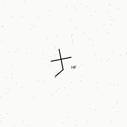 CC(C)(C)CI.F